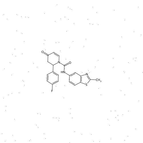 Cc1nc2cc(NC(=O)N3C=CC(=O)CC3c3ccc(F)cc3)ccc2s1